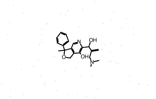 C=C(CN(C)C)C(O)c1ncc2c(c1O)COC2(C)c1ccccc1